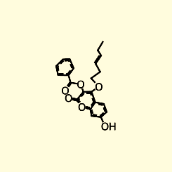 CC/C=C/CCOc1c(OC(=O)c2ccccc2)c(=O)oc2cc(O)ccc12